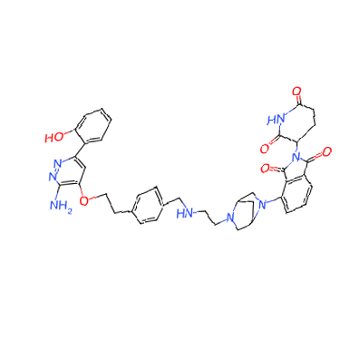 Nc1nnc(-c2ccccc2O)cc1OCCc1ccc(CNCCN2CC3CC2CN3c2cccc3c2C(=O)N(C2CCC(=O)NC2=O)C3=O)cc1